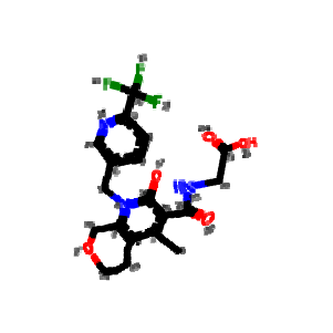 Cc1c2c(n(Cc3ccc(C(F)(F)F)nc3)c(=O)c1C(=O)NCC(=O)O)COCC2